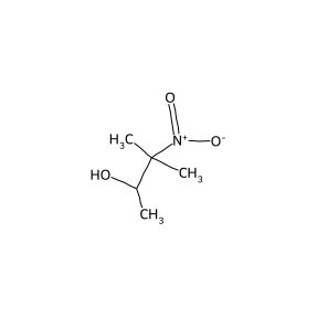 CC(O)C(C)(C)[N+](=O)[O-]